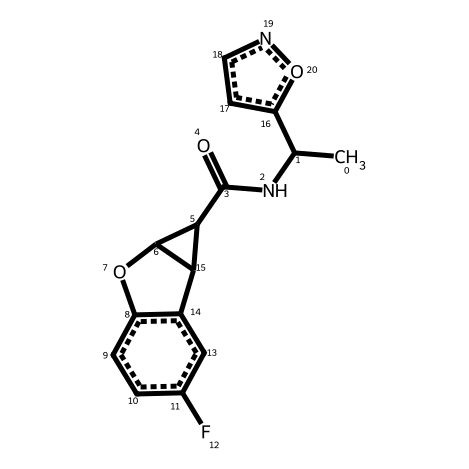 CC(NC(=O)C1C2Oc3ccc(F)cc3C21)c1ccno1